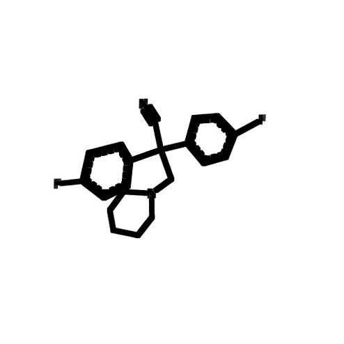 N#CC(CN1CCCCC1)(c1ccc(F)cc1)c1ccc(F)cc1